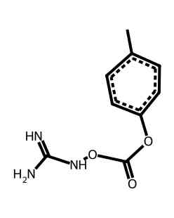 Cc1ccc(OC(=O)ONC(=N)N)cc1